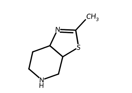 CC1=NC2CCNCC2S1